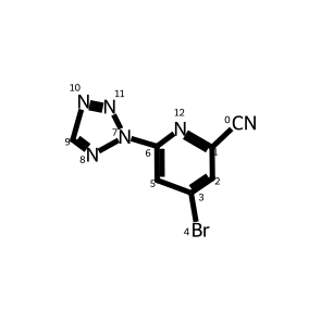 N#Cc1cc(Br)cc(-n2ncnn2)n1